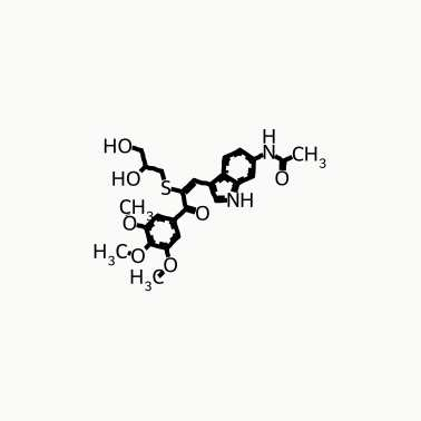 COc1cc(C(=O)/C(=C\c2c[nH]c3cc(NC(C)=O)ccc23)SCC(O)CO)cc(OC)c1OC